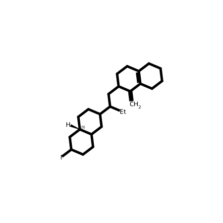 C=C1C2=C(CCCC2)CCC1CC(CC)C1CC[C@H]2CC(I)CCC2C1